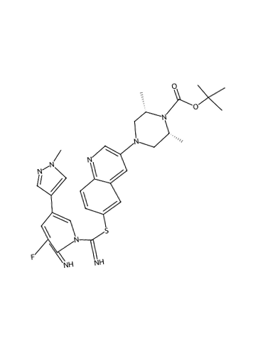 C[C@@H]1CN(c2cnc3ccc(SC(=N)n4cc(-c5cnn(C)c5)cc(F)c4=N)cc3c2)C[C@H](C)N1C(=O)OC(C)(C)C